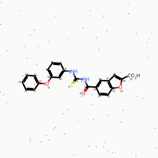 O=C(NC(=S)Nc1cccc(Oc2ccccc2)c1)c1ccc2oc(C(=O)O)cc2c1